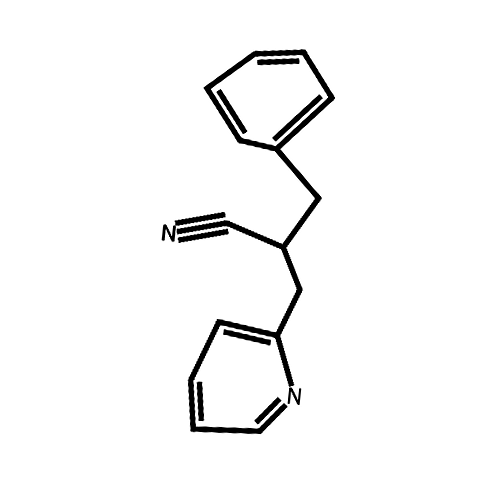 N#CC(Cc1ccccc1)Cc1ccccn1